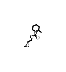 COCCOC(=O)N1CCCCC1C